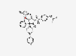 CCOc1ccccc1C1(N2CCN(c3ccncc3)CC2)C(=O)N(S(=O)(=O)c2ccc(OC(F)F)cc2)c2ccc(C#N)cc21